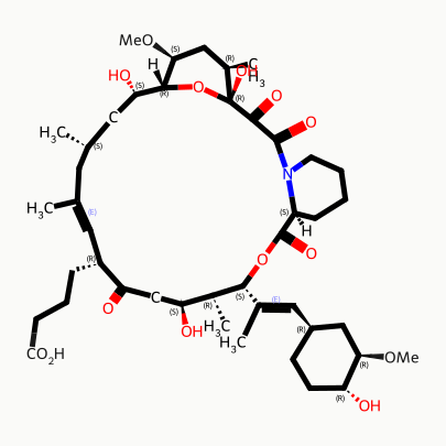 CO[C@H]1C[C@@H](C)[C@@]2(O)O[C@@H]1[C@@H](O)C[C@@H](C)C/C(C)=C/[C@@H](CCCC(=O)O)C(=O)C[C@H](O)[C@@H](C)[C@@H](/C(C)=C/[C@@H]1CC[C@@H](O)[C@H](OC)C1)OC(=O)[C@@H]1CCCCN1C(=O)C2=O